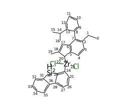 CCc1ccc2c(c1-c1ccccc1C(C)C)C=C(C)[CH]2[Zr]([Cl])([Cl])[c]1cccc2c1[SiH2]c1ccccc1-2